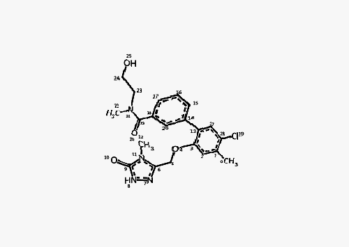 Cc1cc(OCc2n[nH]c(=O)n2C)c(-c2cccc(C(=O)N(C)CCO)c2)cc1Cl